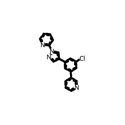 Clc1cc(-c2cccnc2)cc(-c2cnn(-c3ccccn3)c2)c1